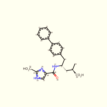 C[C@H](C[C@@H](Cc1ccc(-c2ccccc2)cc1)NC(=O)c1c[nH]c(C(=O)O)n1)C(=O)O